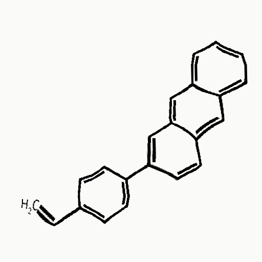 C=Cc1ccc(-c2ccc3cc4ccccc4cc3c2)cc1